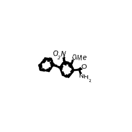 COc1c(C(N)=O)ccc(-c2ccccc2)c1[N+](=O)[O-]